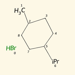 Br.CC1CCC(C(C)C)CC1